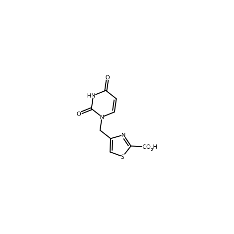 O=C(O)c1nc(Cn2ccc(=O)[nH]c2=O)cs1